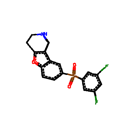 O=S(=O)(c1cc(F)cc(F)c1)c1ccc2oc3c(c2c1)CNCC3